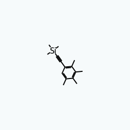 Cc1cc(C#C[Si](C)(C)C)c(C)c(C)c1C